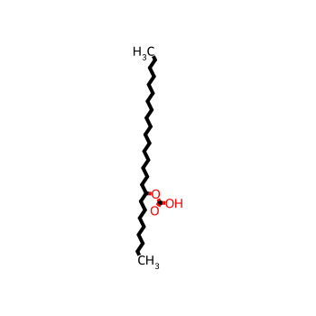 CCCCCCCCCCCCCCCCCC(CCCCCCCC)OC(=O)O